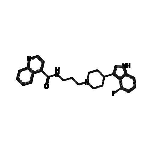 O=C(NCCCN1CCC(c2c[nH]c3cccc(F)c23)CC1)c1ccnc2ccccc12